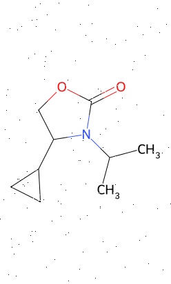 CC(C)N1C(=O)OCC1C1CC1